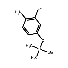 CC(C)c1cc(O[Si](C)(C)C(C)(C)C)ccc1N